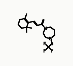 C=C(/C=C/C1=C(C)CCCC1(C)C)N1CCCN(SC(F)(F)F)CC1